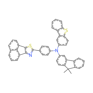 CC1(C)c2ccccc2-c2cc(N(c3ccc(-c4nc5c(s4)-c4cccc6cccc-5c46)cc3)c3ccc4sc5ccccc5c4c3)ccc21